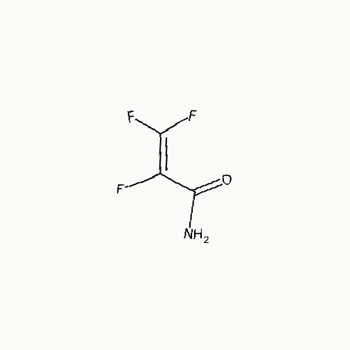 NC(=O)C(F)=C(F)F